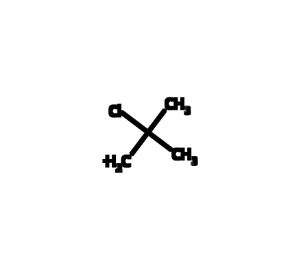 [CH2]C(C)(C)Cl